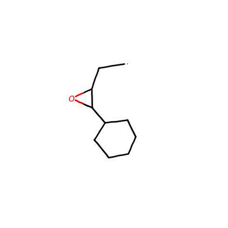 [CH2]CC1OC1C1CCCCC1